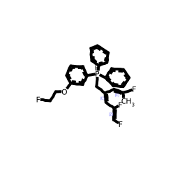 C\C(F)=C/C(=C\C(F)=C\F)C[PH](c1ccccc1)(c1ccccc1)c1cccc(OCCF)c1